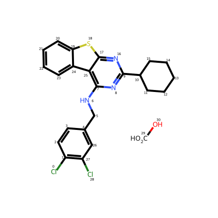 Clc1ccc(CNc2nc(C3CCCCC3)nc3sc4ccccc4c23)cc1Cl.O=C(O)O